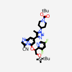 Cc1c(-c2cc(OC(CO[Si](C)(C)C(C)(C)C)c3ncc(F)cc3F)n3c(C#N)cnc3c2)nnn1C1CCN(C(=O)OC(C)(C)C)CC1